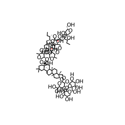 CC[C@H](C)[C@H](C[C@H](O)CC(=O)O[C@@H]1C(C)O[C@@H](OC(=O)[C@]23CCC(C)(C)CC2C2=CCC4[C@@]5(C)CC[C@H](O[C@@H]6OC(C(=O)O)[C@H](O)C(O[C@@H]7OC[C@@H](O)C(O)C7O)C6O[C@@H]6OC(CO)[C@H](O)C(O)C6O)[C@@](C)(C=O)C5CC[C@@]4(C)[C@]2(C)C[C@H]3O)C(O[C@@H]2OC(C)[C@H](O[C@H]3OCC(O)[C@H](O)C3O)C(O)C2O)C1O)OC(=O)C[C@@H](O)C[C@H](OC1(O)CO[C@@H](CO)C1O)[C@@H](C)CC